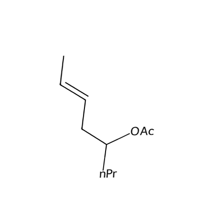 CC=CCC(CCC)OC(C)=O